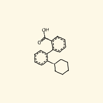 O=C(O)c1ccccc1-c1ccccc1C1CCCCC1